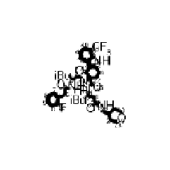 CCC(C)[C@H](NC(=O)Cc1ccccc1F)C(=O)N[C@]1(C(=O)N[C@H](CC(=O)NCC2CCOCC2)C(C)CC)CCc2[nH]c3c(C(F)(F)F)cccc3c2C1